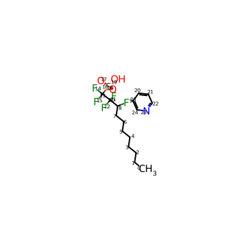 CCCCCCCCC(F)C(F)(F)C(F)(F)S(=O)(=O)O.c1ccncc1